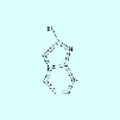 CCc1cn2ccc[c]c2n1